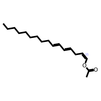 CCCCCCCCCC=CC=CC/C=C\OC(C)=O